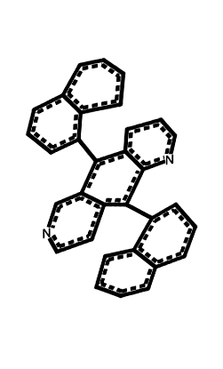 c1ccc2c(-c3c4cnccc4c(-c4cccc5ccccc45)c4ncccc34)cccc2c1